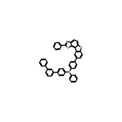 c1ccc(-c2cccc(-c3ccc(N(c4ccccc4)c4ccc(-c5ccc6oc7ccc8nc(-c9ccccc9)oc8c7c6c5)cc4)cc3)c2)cc1